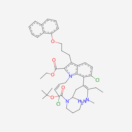 CCOC(=O)c1c(CCCOc2cccc3ccccc23)c2ccc(Cl)c(/C(CC3CCCCN3C(=O)OC(C)(C)C)=C(\CC)N(C)N)c2n1C/C=C\CCl